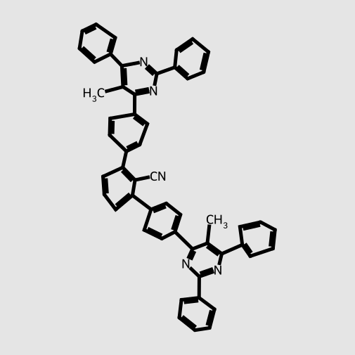 Cc1c(-c2ccccc2)nc(-c2ccccc2)nc1-c1ccc(-c2cccc(-c3ccc(-c4nc(-c5ccccc5)nc(-c5ccccc5)c4C)cc3)c2C#N)cc1